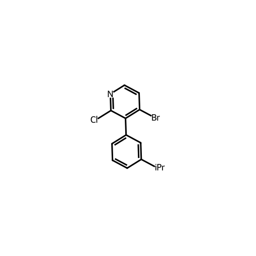 CC(C)c1cccc(-c2c(Br)ccnc2Cl)c1